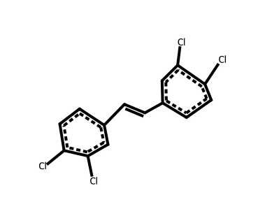 Clc1ccc(/C=C/c2ccc(Cl)c(Cl)c2)cc1Cl